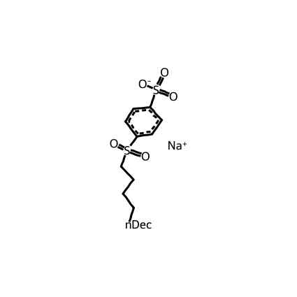 CCCCCCCCCCCCCCS(=O)(=O)c1ccc(S(=O)(=O)[O-])cc1.[Na+]